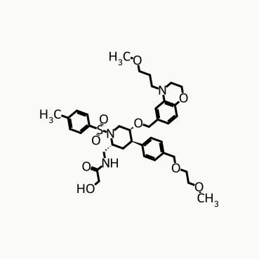 COCCCN1CCOc2ccc(CO[C@H]3CN(S(=O)(=O)c4ccc(C)cc4)[C@@H](CNC(=O)CO)C[C@@H]3c3ccc(COCCOC)cc3)cc21